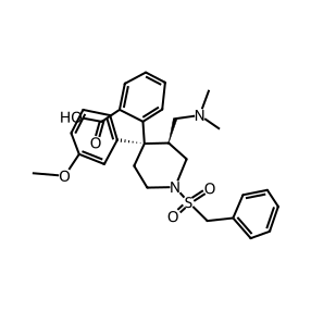 COc1cccc([C@@]2(c3ccccc3C(=O)O)CCN(S(=O)(=O)Cc3ccccc3)C[C@@H]2CN(C)C)c1